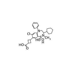 CN1C(C2CCCCC2)CN(c2ccccc2)c2cc(Cl)c(C3CC(C(=O)O)C3)cc2S1(O)O